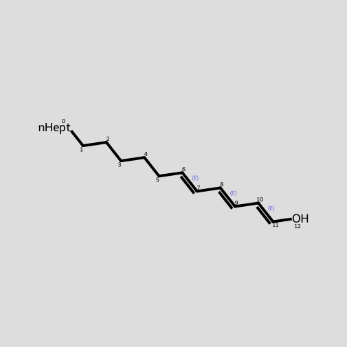 CCCCCCCCCCCC/C=C/C=C/C=C/O